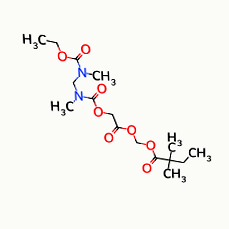 CCOC(=O)N(C)CN(C)C(=O)OCC(=O)OCOC(=O)C(C)(C)CC